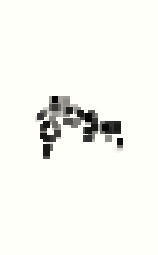 CCCNC(=O)Oc1ccc(C(O)(CC)c2ccc(F)cc2)cc1